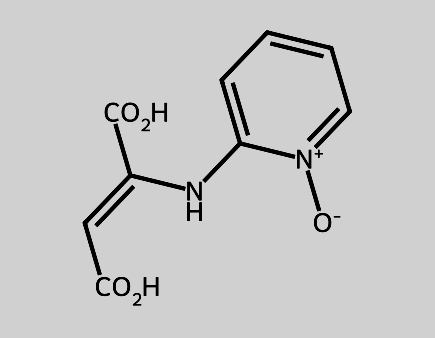 O=C(O)/C=C(\Nc1cccc[n+]1[O-])C(=O)O